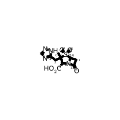 CC1(Cc2ncn[nH]2)C(C(=O)O)N2C(=O)CC2S1(=O)=O